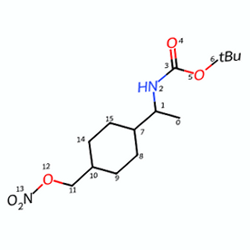 CC(NC(=O)OC(C)(C)C)C1CCC(CO[N+](=O)[O-])CC1